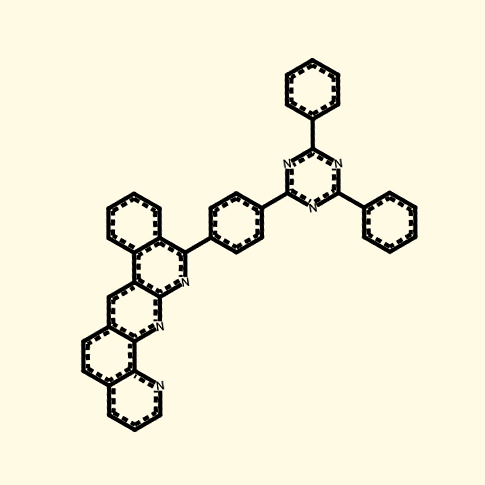 c1ccc(-c2nc(-c3ccccc3)nc(-c3ccc(-c4nc5nc6c(ccc7cccnc76)cc5c5ccccc45)cc3)n2)cc1